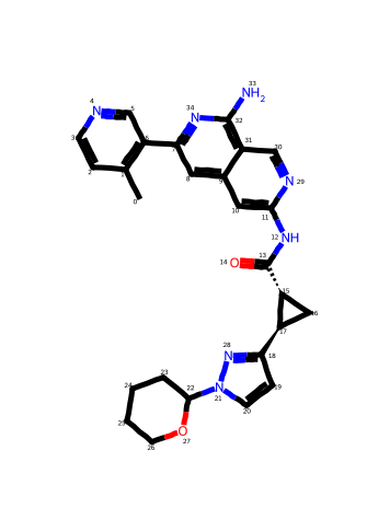 Cc1ccncc1-c1cc2cc(NC(=O)[C@@H]3C[C@H]3c3ccn(C4CCCCO4)n3)ncc2c(N)n1